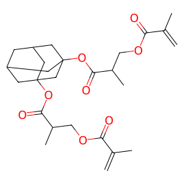 C=C(C)C(=O)OCC(C)C(=O)OC12CC3CC(C1)CC(OC(=O)C(C)COC(=O)C(=C)C)(C3)C2